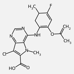 C=C(C)OC1=C(Nc2ncnc3c(Cl)c(C(=O)O)n(C)c23)CC(C)C(F)=C1